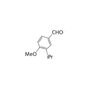 COc1ccc([C]=O)cc1C(C)C